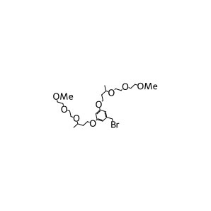 COCCOCCOC(C)CCOc1cc(CBr)cc(OCCC(C)OCCOCCOC)c1